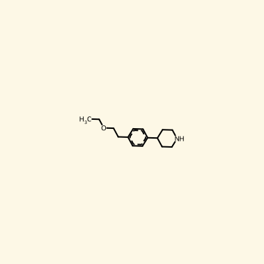 CCOCCc1ccc(C2CCNCC2)cc1